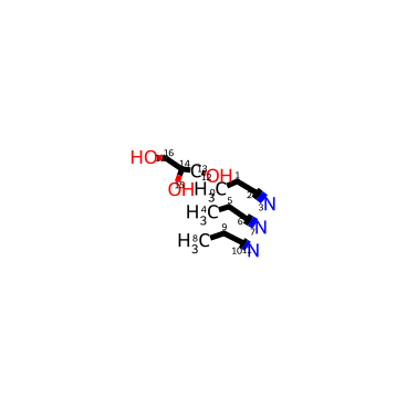 CCC#N.CCC#N.CCC#N.OCC(O)CO